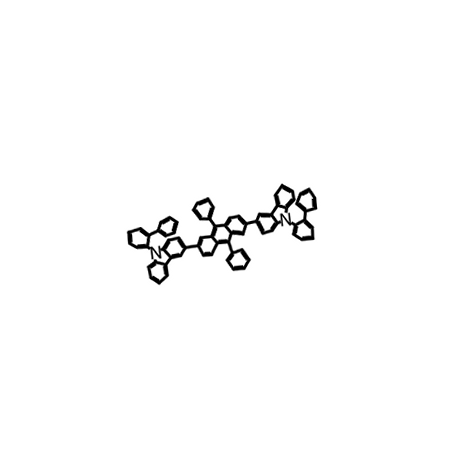 c1ccc(-c2ccccc2-n2c3ccccc3c3cc(-c4ccc5c(-c6ccccc6)c6cc(-c7ccc8c(c7)c7ccccc7n8-c7ccccc7-c7ccccc7)ccc6c(-c6ccccc6)c5c4)ccc32)cc1